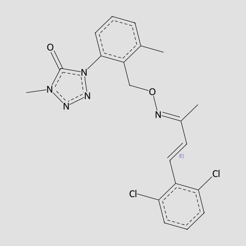 CC(/C=C/c1c(Cl)cccc1Cl)=NOCc1c(C)cccc1-n1nnn(C)c1=O